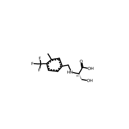 Cc1cc(CN[C@@H](CO)C(=O)O)ccc1C(F)(F)F